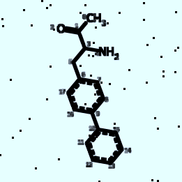 CC(=O)C(N)Cc1ccc(-c2ccccc2)cc1